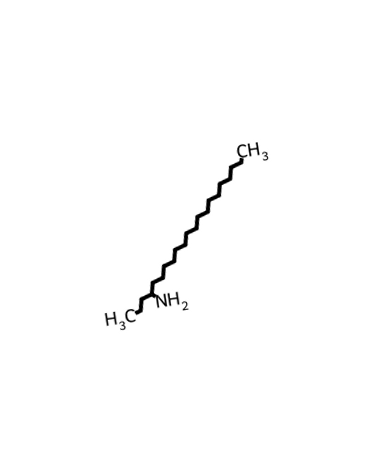 CCCCCCCCCCCCCCCCCC(N)CCC